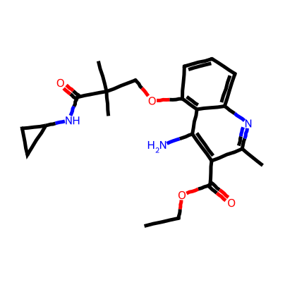 CCOC(=O)c1c(C)nc2cccc(OCC(C)(C)C(=O)NC3CC3)c2c1N